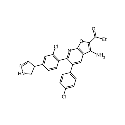 CCC(=O)c1oc2nc(-c3ccc(C4C=NNC4)cc3Cl)c(-c3ccc(Cl)cc3)cc2c1N